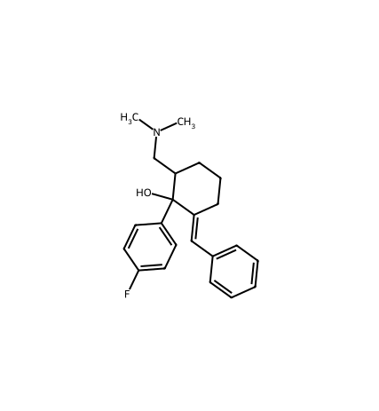 CN(C)CC1CCCC(=Cc2ccccc2)C1(O)c1ccc(F)cc1